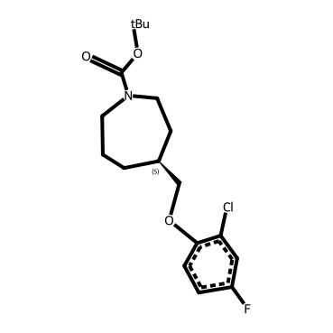 CC(C)(C)OC(=O)N1CCC[C@H](COc2ccc(F)cc2Cl)CC1